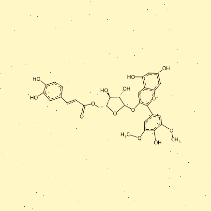 COc1cc(-c2[o+]c3cc(O)cc(O)c3cc2OC2O[C@H](COC(=O)C=Cc3ccc(O)c(O)c3)[C@@H](O)[C@@H]2O)cc(OC)c1O